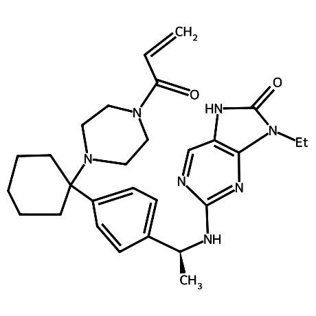 C=CC(=O)N1CCN(C2(c3ccc([C@H](C)Nc4ncc5[nH]c(=O)n(CC)c5n4)cc3)CCCCC2)CC1